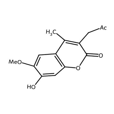 COc1cc2c(C)c(CC(C)=O)c(=O)oc2cc1O